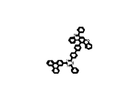 c1ccc(-c2nc(-c3ccc(-c4ccc(-c5c6c(cc7c(-c8ccccc8)nc8ccccc8c57)oc5ccccc56)cc4)cc3)nc(-c3ccc4c5ccccc5c5ccccc5c4c3)n2)cc1